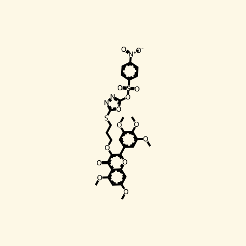 COc1cc(OC)c2c(=O)c(OCCCSc3nnc(OS(=O)(=O)c4ccc([N+](=O)[O-])cc4)o3)c(-c3cc(OC)c(OC)c(OC)c3)oc2c1